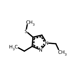 CCc1nn(CC)cc1SC